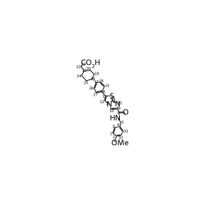 COc1ccc(CNC(=O)c2cn3cc(-c4ccc([C@H]5CC[C@H](CC(=O)O)CC5)cc4)sc3n2)cc1